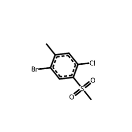 Cc1cc(Cl)c(S(C)(=O)=O)cc1Br